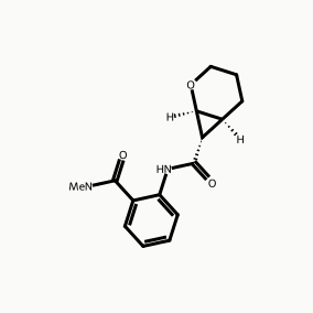 CNC(=O)c1ccccc1NC(=O)[C@H]1[C@@H]2CCCO[C@@H]21